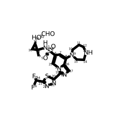 CC1(NS(=O)(=O)c2cc(N3CCCNCC3)c3cnc(-c4nnc(C(F)F)s4)n3c2)CC1.O=CO